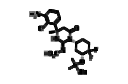 CC(C)(C)[Si](C)(C)O[C@@H]1C[C@H](N2C(=O)C[C@@](C)(c3cccc(N)c3Cl)N/C2=N\C(=O)O)CCC1(F)F